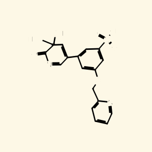 CC1(C)C=C(c2cc(OCc3ccccn3)cc(S(C)(=O)=O)c2)C=NC1=O